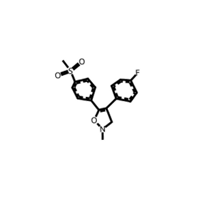 CN1CC(c2ccc(F)cc2)=C(c2ccc(S(C)(=O)=O)cc2)O1